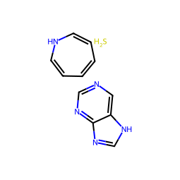 C1=CC=CNC=C1.S.c1ncc2[nH]cnc2n1